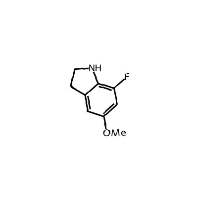 COc1cc(F)c2c(c1)CCN2